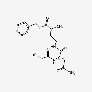 CN(CCNC(=O)[C@H](CC(N)=O)NC(=O)OC(C)(C)C)C(=O)OCc1ccccc1